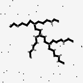 CCOCCCP(CCCOCC)CCN(CCP(CCCOCC)CCCOCC)OCCOCC